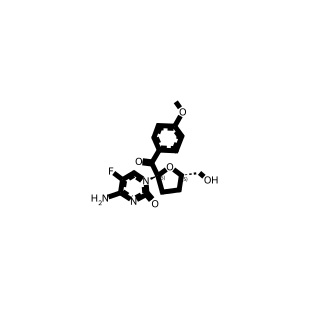 COc1ccc(C(=O)[C@]2(n3cc(F)c(N)nc3=O)CC[C@@H](CO)O2)cc1